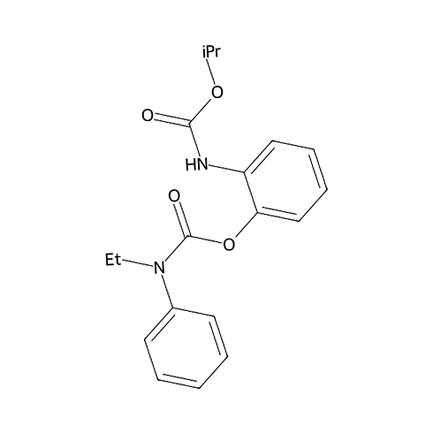 CCN(C(=O)Oc1ccccc1NC(=O)OC(C)C)c1ccccc1